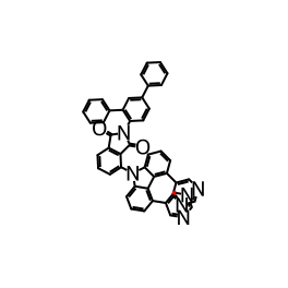 O=C1c2cccc(-n3c4cccc(-c5cncnc5)c4c4c(-c5cncnc5)cccc43)c2C(=O)N1c1ccc(-c2ccccc2)cc1-c1ccccc1